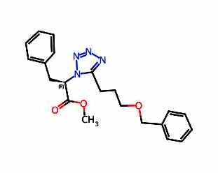 COC(=O)[C@@H](Cc1ccccc1)n1nnnc1CCCOCc1ccccc1